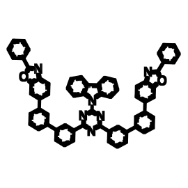 c1ccc(-c2nc3ccc(-c4cccc(-c5cccc(-c6nc(-c7cccc(-c8cccc(-c9ccc%10nc(-c%11ccccc%11)oc%10c9)c8)c7)nc(-n7c8ccccc8c8ccccc87)n6)c5)c4)cc3o2)cc1